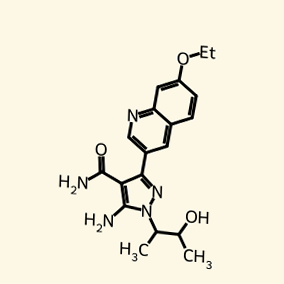 CCOc1ccc2cc(-c3nn(C(C)C(C)O)c(N)c3C(N)=O)cnc2c1